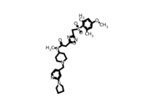 COc1cc(C)c(S(=O)(=O)Cc2noc(CC(=O)N(C)C3CCN(Cc4ccnc(N5CCCC5)c4)CC3)n2)c(C)c1